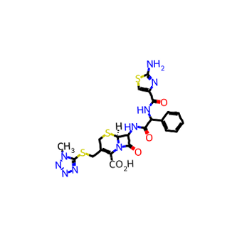 Cn1nnnc1SCC1=C(C(=O)O)N2C(=O)C(NC(=O)C(NC(=O)c3csc(N)n3)c3ccccc3)[C@@H]2SC1